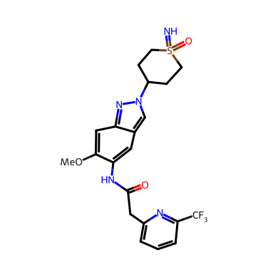 COc1cc2nn(C3CCS(=N)(=O)CC3)cc2cc1NC(=O)Cc1cccc(C(F)(F)F)n1